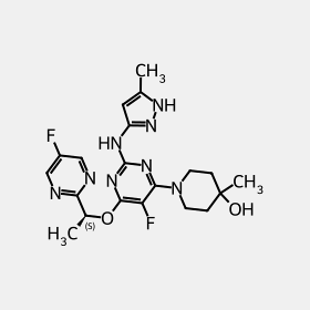 Cc1cc(Nc2nc(O[C@@H](C)c3ncc(F)cn3)c(F)c(N3CCC(C)(O)CC3)n2)n[nH]1